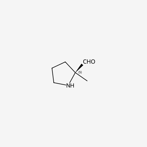 C[C@@]1(C=O)CCCN1